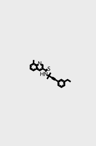 CCc1cccc(C#CC(C)(C)NC(=S)c2cnc3c(C)cccc3c2)c1